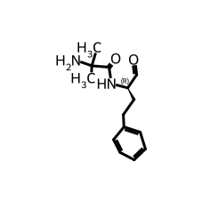 CC(C)(N)C(=O)N[C@@H](C=O)CCc1ccccc1